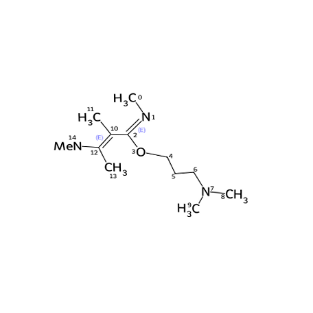 C/N=C(OCCCN(C)C)\C(C)=C(/C)NC